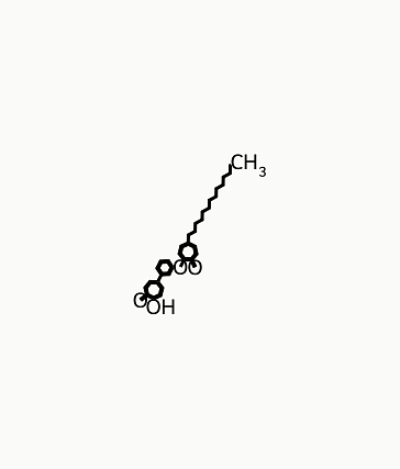 CCCCCCCCCCCCCCc1ccc(Oc2cccc(-c3ccc(O)c(=O)cc3)c2)c(=O)cc1